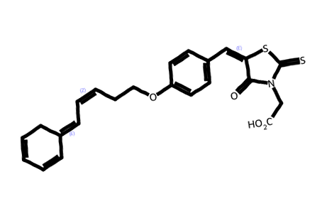 O=C(O)CN1C(=O)/C(=C\c2ccc(OCC/C=C\C=C3\C=CC=CC3)cc2)SC1=S